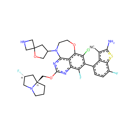 N#Cc1c(N)sc2c(F)ccc(-c3c(Cl)c4c5c(nc(OC[C@@]67CCCN6C[C@H](F)C7)nc5c3F)N(C3COC5(CNC5)C3)CCO4)c12